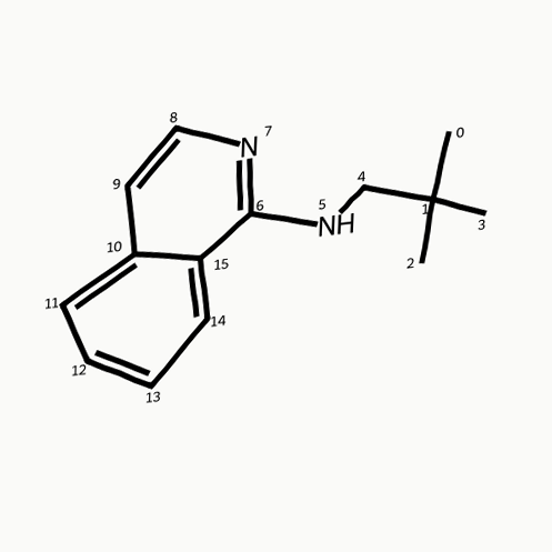 CC(C)(C)CNc1nccc2ccccc12